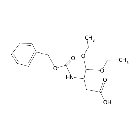 CCOC(OCC)C(CC(=O)O)NC(=O)OCc1ccccc1